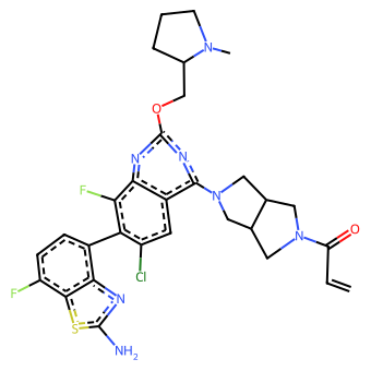 C=CC(=O)N1CC2CN(c3nc(OCC4CCCN4C)nc4c(F)c(-c5ccc(F)c6sc(N)nc56)c(Cl)cc34)CC2C1